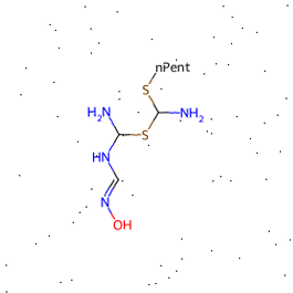 CCCCCSC(N)SC(N)N/C=N/O